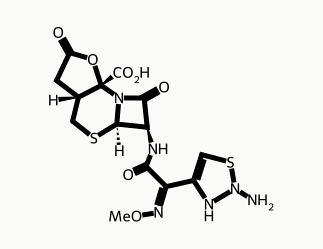 CO/N=C(\C(=O)N[C@@H]1C(=O)N2[C@@H]1SC[C@@H]1CC(=O)O[C@@]12C(=O)O)C1=CSN(N)N1